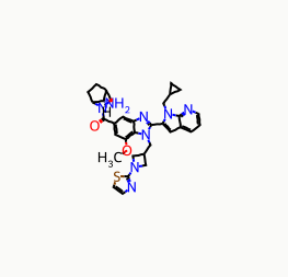 COc1cc(C(=O)N2CC3CCC2[C@@H]3N)cc2nc(-c3cc4cccnc4n3CC3CC3)n(CC3CN(c4nccs4)C3)c12